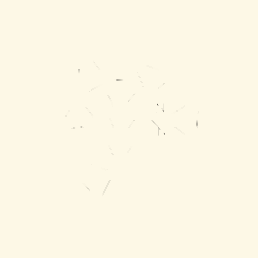 c1ccc(-c2ccc3c(-c4nc5ccccc5n4-c4ccccc4)c4ccccc4c(-c4cccc5oc6ccccc6c45)c3c2)cc1